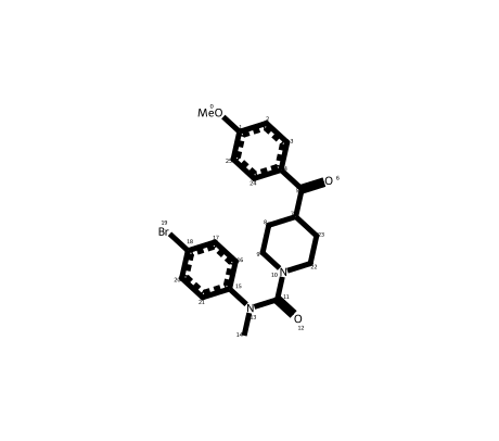 COc1ccc(C(=O)C2CCN(C(=O)N(C)c3ccc(Br)cc3)CC2)cc1